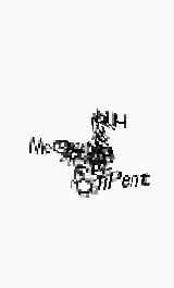 CCCCCC1(c2ccccc2F)CN(C(=O)C(Cc2ccc(OC)cc2)NC(=O)CCc2c[nH]cn2)C1